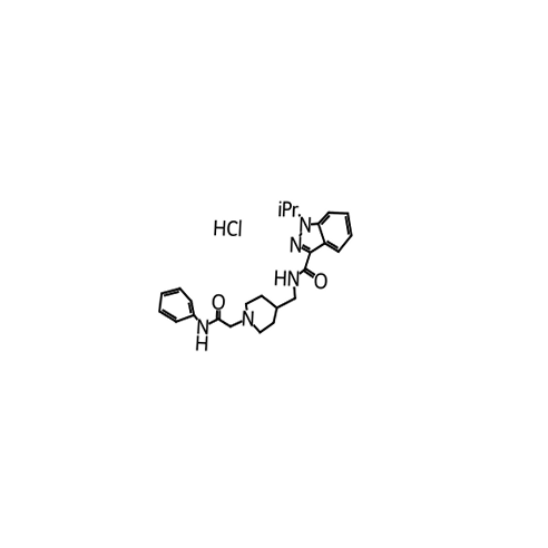 CC(C)n1nc(C(=O)NCC2CCN(CC(=O)Nc3ccccc3)CC2)c2ccccc21.Cl